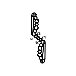 N#Cc1c2c(c(C#N)c3cc4c(C#N)c5c(c(C#N)c4cc13)C1CC3=C4C=C1CC1=C5CC5C=CC6=C(C=C7CC8=C(C=CC7C6)CC(C=C3)C(=C8)C4)CC5=C1)C1CC3=C4C=C1CC1=C2CC2C=CC5=C(C=C6CC7=C(C=CC6C5)CC(C=C3)C(=C7)C4)CC2=C1